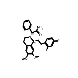 COc1cc2c(cc1OC)[C@H](CCc1ccc(F)cc1F)N([C@@H](C(N)=O)c1ccccc1)CC2